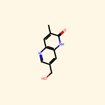 Cc1cc2ncc(CO)cc2[nH]c1=O